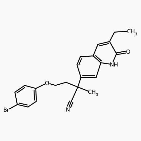 CCc1cc2ccc(C(C)(C#N)CCOc3ccc(Br)cc3)cc2[nH]c1=O